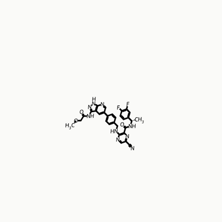 COCC(=O)Nc1n[nH]c2ncc(-c3ccc(CNc4ncc(C#N)nc4C(=O)N[C@@H](C)c4ccc(F)c(F)c4)cc3)cc12